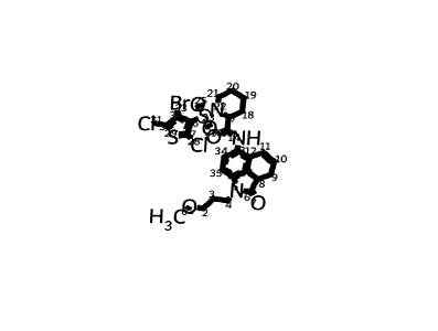 COCCCN1C(=O)C2CC=Cc3c(NC(=O)C4CCCCN4S(=O)(=O)c4c(Cl)sc(Cl)c4Br)ccc1c32